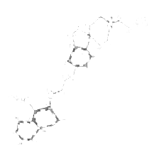 O=Cc1c(OCCOc2ccc3c(c2)OCC32CCN(CCC(=O)O)CC2)ccc2ccccc12